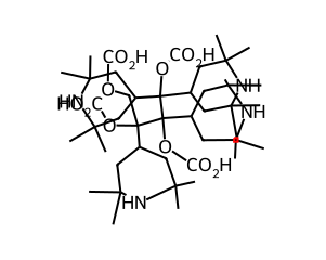 CC1(C)CC(C(COC(=O)O)(OC(=O)O)C(OC(=O)O)(C2CC(C)(C)NC(C)(C)C2)C(OC(=O)O)(C2CC(C)(C)NC(C)(C)C2)C2CC(C)(C)NC(C)(C)C2)CC(C)(C)N1